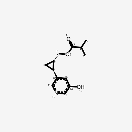 CC(C)C(=O)OC[C@H]1C[C@@H]1c1cncc(O)c1